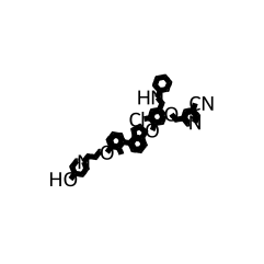 Cc1c(OCCCN2CCC(O)CC2)cccc1-c1cccc2c1CC[C@@H]2Oc1cc(OCc2cncc(C#N)c2)c(CNC2CCCCC2)cc1Cl